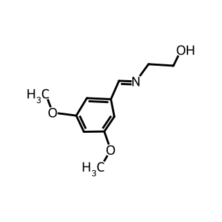 COc1cc(/C=N/CCO)cc(OC)c1